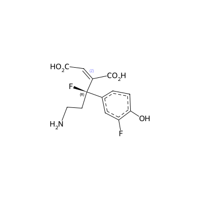 NCC[C@](F)(/C(=C\C(=O)O)C(=O)O)c1ccc(O)c(F)c1